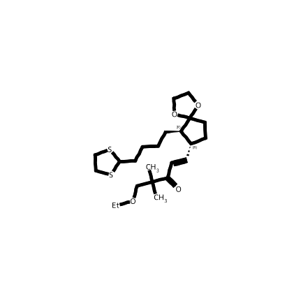 CCOCC(C)(C)C(=O)C=C[C@H]1CCC2(OCCO2)[C@@H]1CCCCC1SCCS1